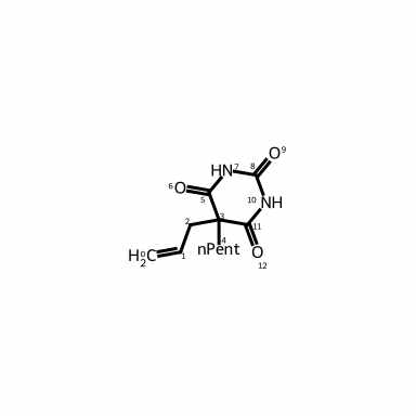 C=CCC1(CCCCC)C(=O)NC(=O)NC1=O